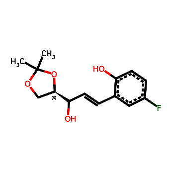 CC1(C)OC[C@H](C(O)C=Cc2cc(F)ccc2O)O1